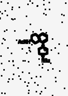 CCCCN1CCN(c2cccc3c2C[C@H](NC(C)=O)CC3)CC1